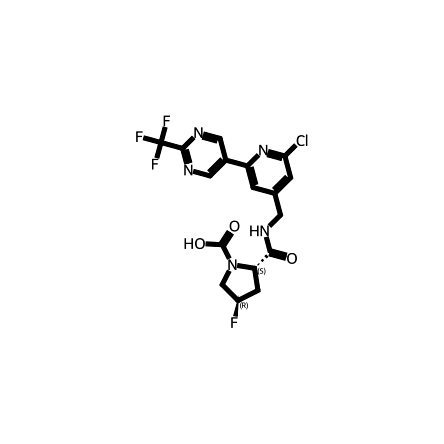 O=C(NCc1cc(Cl)nc(-c2cnc(C(F)(F)F)nc2)c1)[C@@H]1C[C@@H](F)CN1C(=O)O